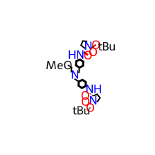 COCCN(Cc1ccc(NC(=O)[C@@H]2CCCN2C(=O)OC(C)(C)C)cc1)Cc1ccc(NC(=O)[C@@H]2CCCN2C(=O)OC(C)(C)C)cc1